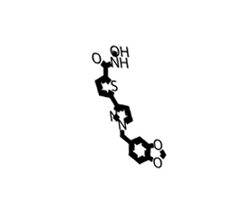 O=C(NO)c1ccc(-c2ccn(Cc3ccc4c(c3)OCO4)n2)s1